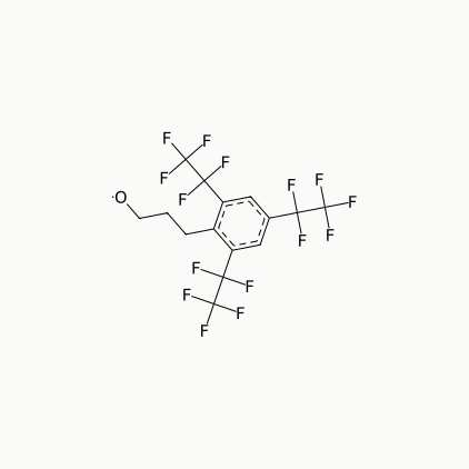 [O]CCCc1c(C(F)(F)C(F)(F)F)cc(C(F)(F)C(F)(F)F)cc1C(F)(F)C(F)(F)F